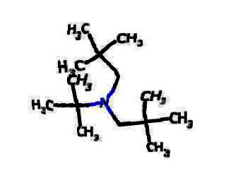 CC(C)(C)CN(CC(C)(C)C)C(C)(C)C